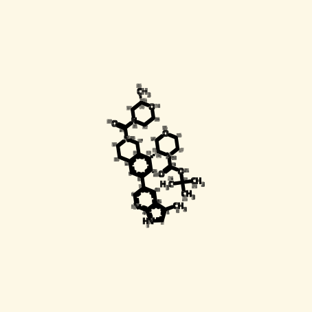 Cc1c[nH]c2ncc(-c3cc4c(c([C@@H]5COCCN5C(=O)OC(C)(C)C)c3)CN(C(=O)N3CCO[C@@H](C)C3)CC4)cc12